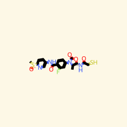 CC1[C@@H](NC(=O)CS)OC(=O)N1c1ccc(C(=O)Nc2ccc([S+](C)[O-])nc2)c(F)c1